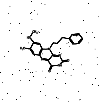 CNc1cc2c(cc1C)nc1c(=O)[nH]c(=O)nc-1n2CCCc1ccccc1